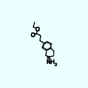 CCOC(=O)CCc1ccc2c(c1)C[C@H](N)CC2